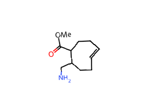 COC(=O)C1CC/C=C/CCC1CN